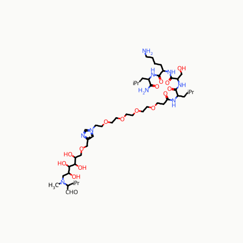 CC(C)CC(NC(=O)C(CCCCN)NC(=O)C(CO)NC(=O)C(CC(C)C)NC(=O)CCOCCOCCOCCOCCn1cnc(COCC(O)C(O)C(O)C(O)CN(C)C(C=O)C(C)C)c1)C(N)=O